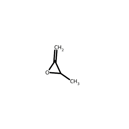 C=C1OC1C